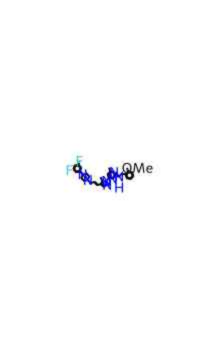 COc1ccccc1CNc1nc(C)cc(-n2ncc(C=CCN3CCN(c4cc(F)cc(F)c4)CC3)c2C)n1